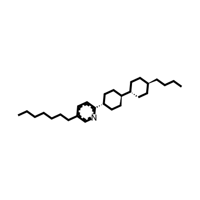 CCCCCCCc1ccc([C@H]2CC[C@H]([C@H]3CC[C@H](CCCC)CC3)CC2)nc1